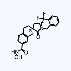 O=C(NO)c1ccc2c(c1)C[C@]1(CC2)CCN(Cc2ccccc2C(F)(F)F)C1=O